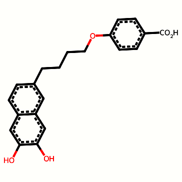 O=C(O)c1ccc(OCCCCc2ccc3cc(O)c(O)cc3c2)cc1